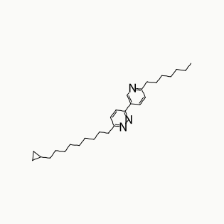 CCCCCCCc1ccc(-c2ccc(CCCCCCCCCC3CC3)nn2)cn1